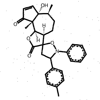 Cc1ccc(C2CC3(ON2c2ccccc2)C(=O)O[C@@H]2[C@H]3CC[C@H](C)[C@]3(O)C=CC(=O)[C@@]23C)cc1